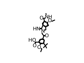 CCOc1cc2c(cc1C(=O)NC)C(=N)N(CC(=O)c1cc(C(=O)O)c(OCC)c(C(C)(C)C)c1)C2